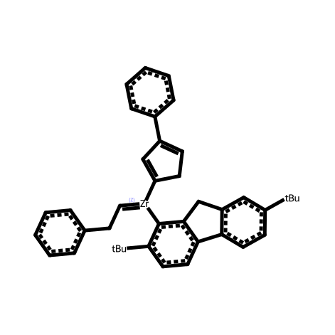 CC(C)(C)c1ccc2c(c1)Cc1c-2ccc(C(C)(C)C)[c]1/[Zr](=[CH]\Cc1ccccc1)[C]1=CC(c2ccccc2)=CC1